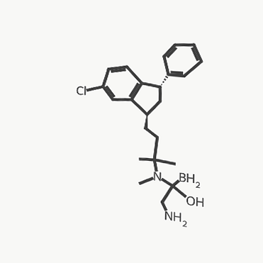 BC(O)(CN)N(C)C(C)(C)CC[C@@H]1C[C@@H](c2ccccc2)c2ccc(Cl)cc21